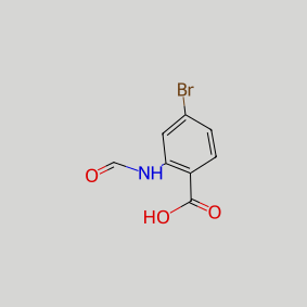 O=CNc1cc(Br)ccc1C(=O)O